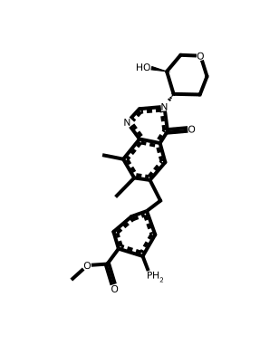 COC(=O)c1ccc(Cc2cc3c(=O)n([C@H]4CCOC[C@@H]4O)cnc3c(C)c2C)cc1P